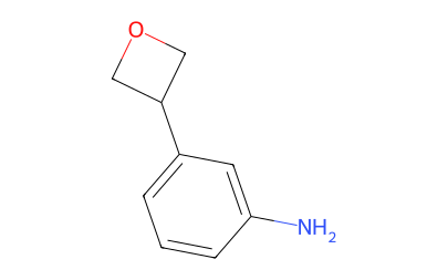 Nc1cccc(C2COC2)c1